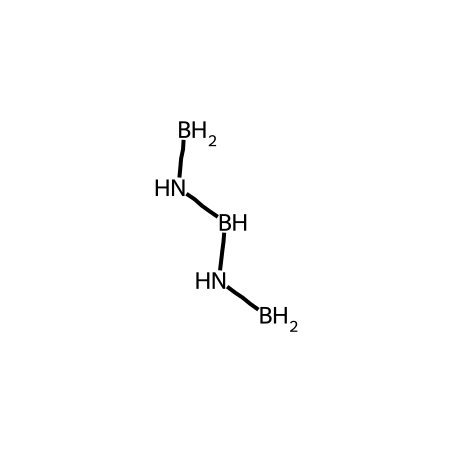 BNBNB